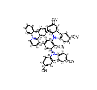 N#Cc1ccc2c(c1)c1cc(C#N)ccc1n2-c1cc(-c2cccnc2-c2ccccc2-c2ccccc2)cc(-n2c3ccc(C#N)cc3c3cc(C#N)ccc32)c1C#N